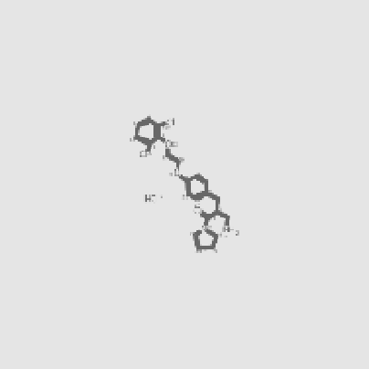 Cl.NCC(Cc1ccc(OCCOc2c(Cl)cccc2Cl)cc1)C(=O)N1CCCC1